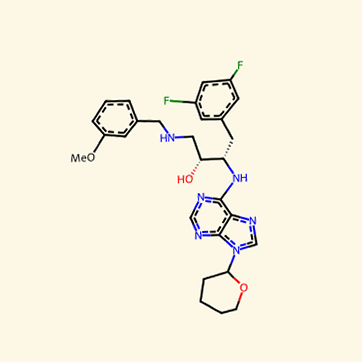 COc1cccc(CNC[C@@H](O)[C@H](Cc2cc(F)cc(F)c2)Nc2ncnc3c2ncn3C2CCCCO2)c1